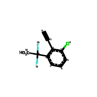 C#Cc1c(Cl)cccc1C(F)(F)C(=O)O